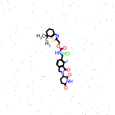 CC1(C)CCCc2nc(COC(=O)NCc3ccc4c(c3F)C(=O)N(C3CCC(=O)NC3=O)C4)sc21.Cl